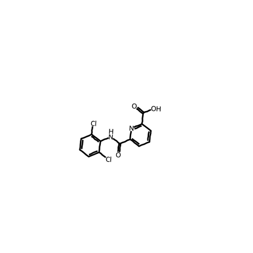 O=C(O)c1cccc(C(=O)Nc2c(Cl)cccc2Cl)n1